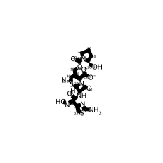 Nc1nc(/C(=N/O)C(=O)NC2C(=O)N3C(C(=O)[O-])=C(COC(=O)N4CCC[C@H]4CO)CS[C@@H]23)cs1.[Na+]